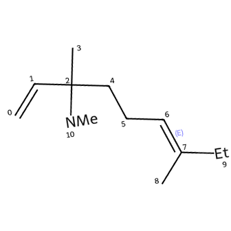 C=CC(C)(CC/C=C(\C)CC)NC